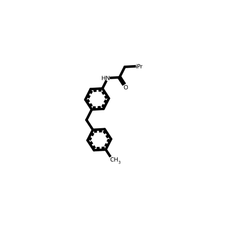 Cc1ccc(Cc2ccc(NC(=O)CC(C)C)cc2)cc1